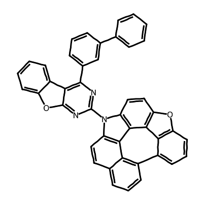 c1ccc(-c2cccc(-c3nc(-n4c5ccc6cccc7c6c5c5c6c(ccc54)oc4cccc-7c46)nc4oc5ccccc5c34)c2)cc1